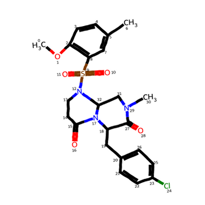 COc1ccc(C)cc1S(=O)(=O)N1CCC(=O)N2C(Cc3ccc(Cl)cc3)C(=O)N(C)CC21